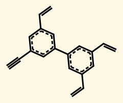 C#Cc1cc(C=C)cc(-c2cc(C=C)cc(C=C)c2)c1